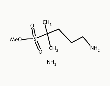 COS(=O)(=O)C(C)(C)CCCN.N